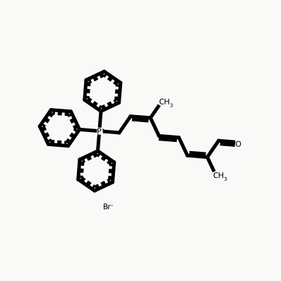 CC(C=O)=CC=CC(C)=CC[P+](c1ccccc1)(c1ccccc1)c1ccccc1.[Br-]